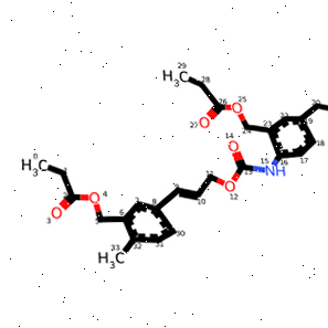 CCC(=O)OCc1cc(/C=C/COC(=O)Nc2ccc(CC)cc2COC(=O)CC)ccc1C